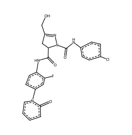 O=C(Nc1ccc(-n2ccccc2=O)cc1F)C1CC(CO)=NN1C(=O)Nc1ccc(Cl)cc1